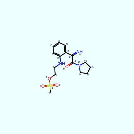 CS(=O)(=O)OCCNc1ccccc1C(=N)C(=O)N1CCCC1